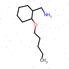 CCCCCOC1CCCCC1CN